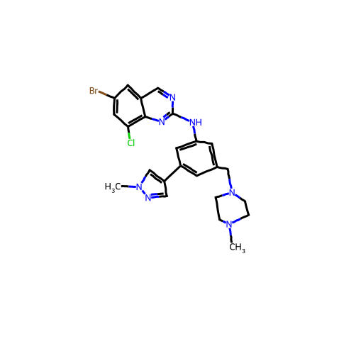 CN1CCN(Cc2cc(Nc3ncc4cc(Br)cc(Cl)c4n3)cc(-c3cnn(C)c3)c2)CC1